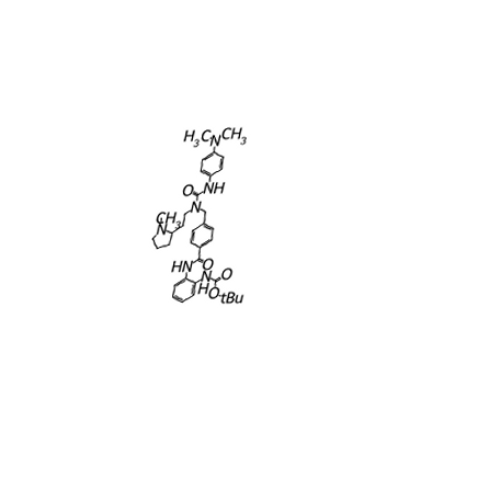 CN(C)c1ccc(NC(=O)N(CCC2CCCN2C)Cc2ccc(C(=O)Nc3ccccc3NC(=O)OC(C)(C)C)cc2)cc1